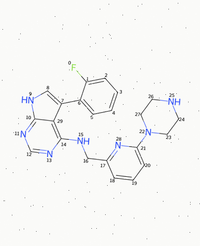 Fc1ccccc1-c1c[nH]c2ncnc(NCc3cccc(N4CCNCC4)n3)c12